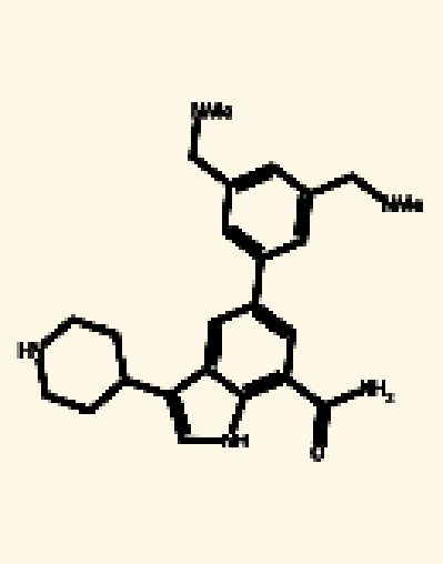 CNCc1cc(CNC)cc(-c2cc(C(N)=O)c3[nH]cc(C4CCNCC4)c3c2)c1